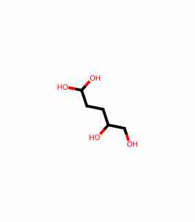 OCC(O)CCC(O)O